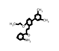 CCCOc1ccc(-c2cc(C)cc(C)c2)cc1/C=C/C(=O)c1ccccc1N